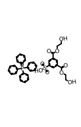 O=C(OCCO)c1cc(C(=O)OCCO)cc(S(=O)(=O)O)c1.c1ccc([PH](c2ccccc2)(c2ccccc2)c2ccccc2)cc1